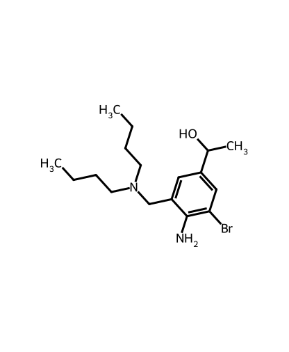 CCCCN(CCCC)Cc1cc(C(C)O)cc(Br)c1N